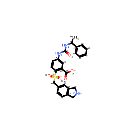 CC(NC(=O)Nc1ccc(S(=O)(=O)Cc2ccc3c(c2)CNC3)c(C(=O)O)c1)c1ccccc1